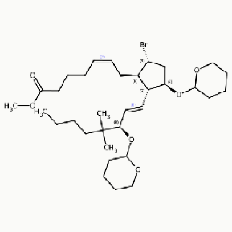 CCCCC(C)(C)[C@@H](/C=C/[C@@H]1[C@@H](C/C=C\CCCC(=O)OC)[C@H](Br)C[C@H]1OC1CCCCO1)OC1CCCCO1